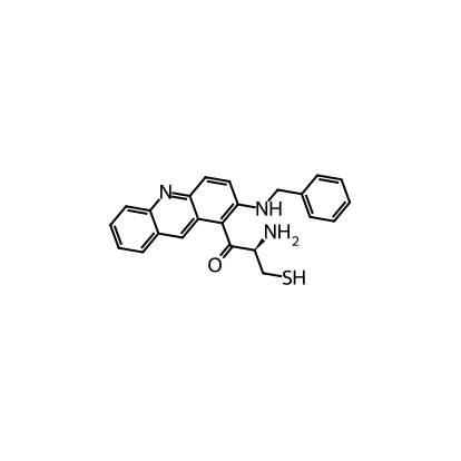 N[C@@H](CS)C(=O)c1c(NCc2ccccc2)ccc2nc3ccccc3cc12